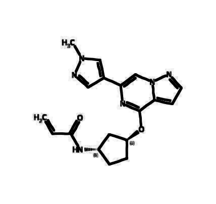 C=CC(=O)N[C@H]1CC[C@H](Oc2nc(-c3cnn(C)c3)cn3nccc23)C1